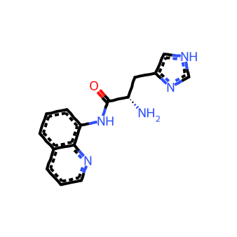 N[C@@H](Cc1c[nH]cn1)C(=O)Nc1cccc2cccnc12